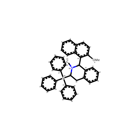 COc1ccc2ccccc2c1C1c2ccccc2CC([Si](c2ccccc2)(c2ccccc2)c2ccccc2)N1C